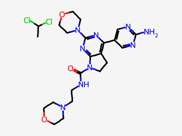 CC(Cl)Cl.Nc1ncc(-c2nc(N3CCOCC3)nc3c2CCN3C(=O)NCCN2CCOCC2)cn1